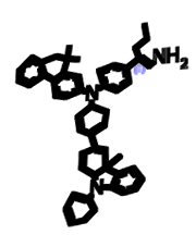 CCC/C(=C\N)c1ccc(N(c2ccc3c(c2)C(C)(C)Cc2ccccc2-3)C2C=CC(C3=CC4(C)c5ccccc5N(C5=CC=CCC5)C4C=C3)=CC2)cc1